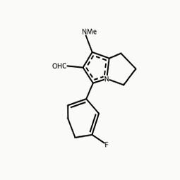 CNc1c(C=O)c(C2=CCCC(F)=C2)n2c1CCC2